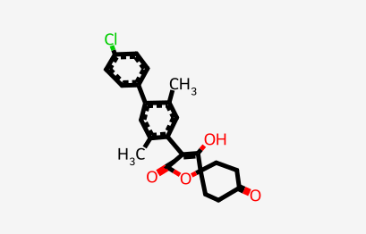 Cc1cc(-c2ccc(Cl)cc2)c(C)cc1C1=C(O)C2(CCC(=O)CC2)OC1=O